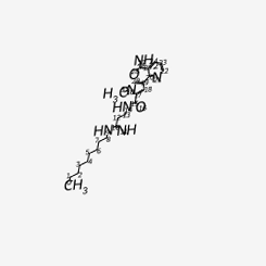 CCCCCCCCCNC(=N)CCNC(=O)c1cc(-c2ncccc2C(N)=O)cn1C